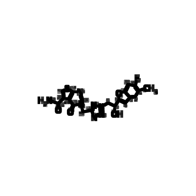 Cc1cc2cc([C@@H](O)Cn3nnc(Cn4cnc5scc(C(N)=O)c5c4=O)n3)oc2cc1F